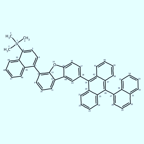 C[Si](C)(C)c1ccc(-c2cccc3c2oc2ccc(-c4c5ccccc5c(-c5cccc6ccccc56)c5ccccc45)cc23)c2ccccc12